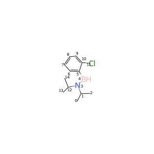 CC(C)N(Bc1ccccc1Cl)C(C)C